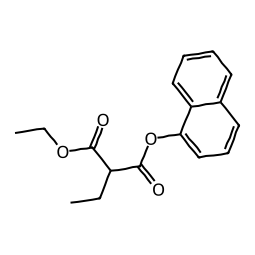 CCOC(=O)C(CC)C(=O)Oc1cccc2ccccc12